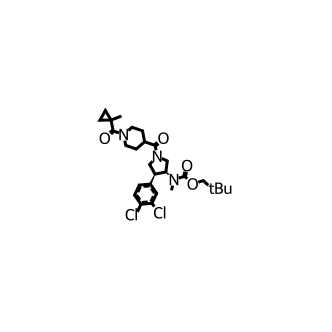 CN(C(=O)OCC(C)(C)C)[C@H]1CN(C(=O)C2CCN(C(=O)C3(C)CC3)CC2)C[C@@H]1c1ccc(Cl)c(Cl)c1